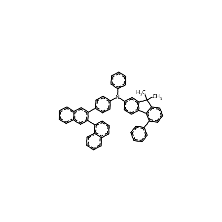 CC1(C)c2cc(N(c3ccccc3)c3ccc(-c4cc5ccccc5cc4-c4cccc5ccccc45)cc3)ccc2-c2c(-c3ccccc3)cccc21